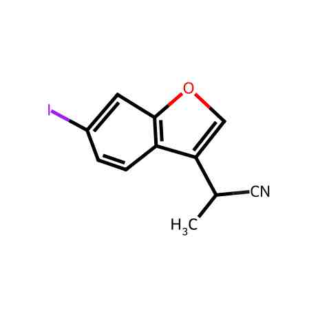 CC(C#N)c1coc2cc(I)ccc12